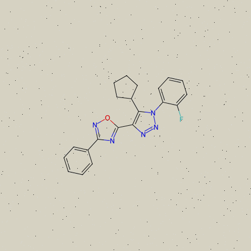 Fc1ccccc1-n1nnc(-c2nc(-c3ccccc3)no2)c1C1CCCC1